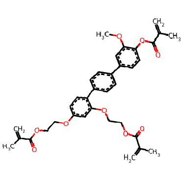 C=C(C)C(=O)OCCOc1ccc(-c2ccc(-c3ccc(OC(=O)C(=C)C)c(OC)c3)cc2)c(OCCOC(=O)C(=C)C)c1